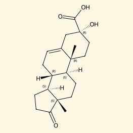 C[C@]12CC[C@](O)(C(=O)O)CC1=CC[C@@H]1[C@@H]2CC[C@]2(C)C(=O)CC[C@@H]12